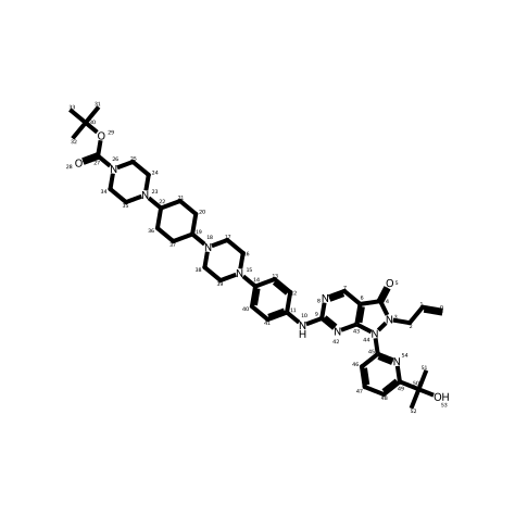 C=CCn1c(=O)c2cnc(Nc3ccc(N4CCN(C5CCC(N6CCN(C(=O)OC(C)(C)C)CC6)CC5)CC4)cc3)nc2n1-c1cccc(C(C)(C)O)n1